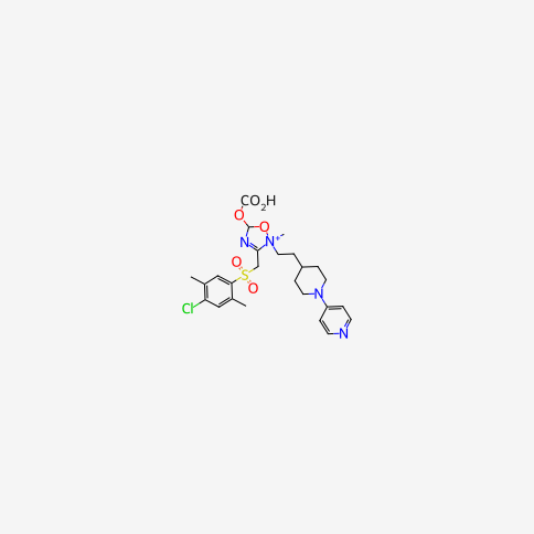 Cc1cc(S(=O)(=O)CC2=NC(OC(=O)O)O[N+]2(C)CCC2CCN(c3ccncc3)CC2)c(C)cc1Cl